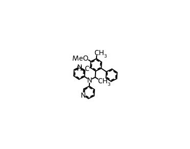 COc1c(C)cc(-c2ccccc2)c(C(C)N(c2cccnc2)c2cccnc2)c1C